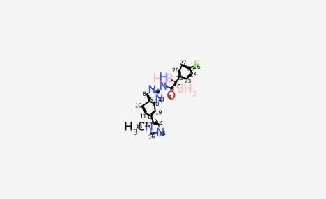 BC(B)(C(=O)Nc1ncc2ccc(-c3cncn3C)cc2n1)c1ccc(F)cc1